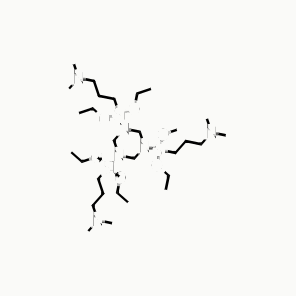 CCO[Si](CCCN(C)C)(OC)N1CN([Si](CCCN(C)C)(OCC)OCC)CN([Si](CCCN(C)C)(OCC)OCC)C1